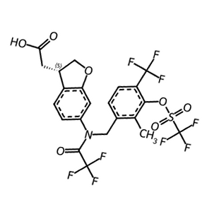 Cc1c(CN(C(=O)C(F)(F)F)c2ccc3c(c2)OC[C@H]3CC(=O)O)ccc(C(F)(F)F)c1OS(=O)(=O)C(F)(F)F